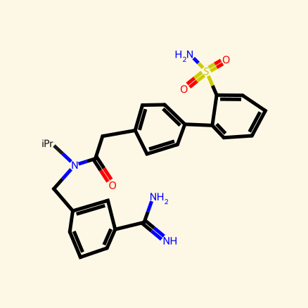 CC(C)N(Cc1cccc(C(=N)N)c1)C(=O)Cc1ccc(-c2ccccc2S(N)(=O)=O)cc1